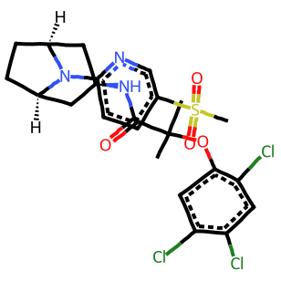 CC(C)(Oc1cc(Cl)c(Cl)cc1Cl)C(=O)N[C@H]1C[C@H]2CC[C@@H](C1)N2c1ccc(S(C)(=O)=O)cn1